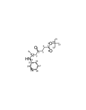 C[S+](CC(=O)CCC(=O)OC(C)(C)C)Nc1cccnc1